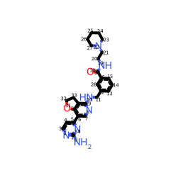 Nc1nccc(-c2cnc(NCc3cccc(C(=O)NCCN4CCCCC4)c3)c3c2OCC3)n1